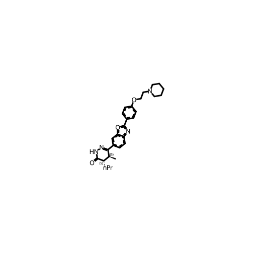 CCC[C@@H]1C(=O)NN=C(c2ccc3nc(-c4ccc(OCCN5CCCCC5)cc4)oc3c2)[C@H]1C